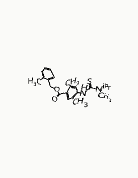 Cc1ccccc1COC(=O)c1cc(C)c(NC(=S)N(C)C(C)C)cc1C